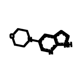 c1cc2cc(N3CCOCC3)cnc2[nH]1